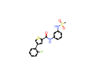 CS(=O)(=O)Nc1cccc(NC(=O)c2cc(-c3ccccc3F)cs2)c1